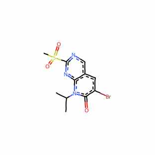 CC(C)n1c(=O)c(Br)cc2cnc(S(C)(=O)=O)nc21